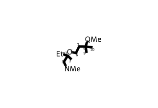 CCC(C)(CNC)OCCC(C)(C)OC